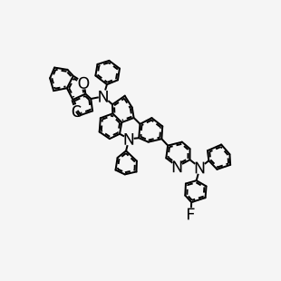 Fc1ccc(N(c2ccccc2)c2ccc(-c3ccc4c(c3)N(c3ccccc3)c3cccc5c(N(c6ccccc6)c6cccc7c6oc6ccccc67)ccc-4c35)cn2)cc1